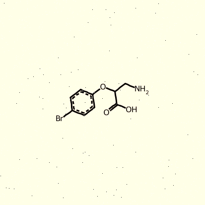 NCC(Oc1ccc(Br)cc1)C(=O)O